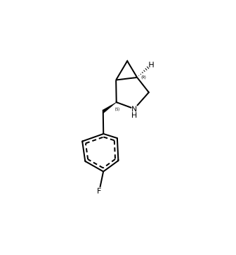 Fc1ccc(C[C@@H]2NC[C@@H]3CC32)cc1